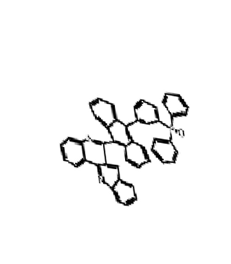 O=P(c1ccccc1)(c1ccccc1)c1cccc(-c2c3ccccc3c(-c3nc4ccccc4c4nc5ccccc5cc34)c3ccccc23)c1